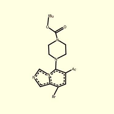 CC(=O)c1cc(Br)c2cncn2c1N1CCN(C(=O)OC(C)(C)C)CC1